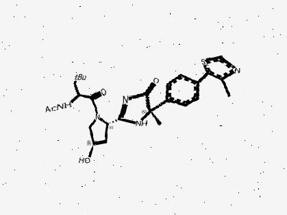 CC(=O)NC(C(=O)N1C[C@H](O)C[C@H]1C1=NC(=O)[C@](C)(c2ccc(-c3scnc3C)cc2)N1)C(C)(C)C